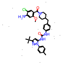 COc1cc(N)c(Cl)cc1C(=O)N1CCC(Cc2ccc(NC(=O)Nc3cc(C(C)(C)C)nn3-c3ccc(C)cc3)cc2)CC1